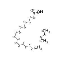 CCCC.CCCCC/C=C\C/C=C\CCCCCCCC(=O)O